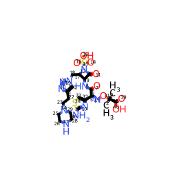 CC(C)(O/N=C(\C(=O)NC1C(=O)N(S(=O)(=O)O)C1Cn1cc(CCN2CCNCC2)nn1)c1csc(N)n1)C(=O)O